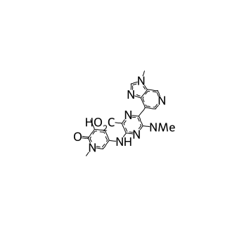 CNc1nc(Nc2cc(C)c(=O)n(C)c2)c(C(=O)O)nc1-c1cncc2c1ncn2C